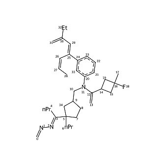 C=N/N=C(\CCC)C1(CCC)CCC(CN(C(=C)C2CC(C)(F)C2)c2cccc(C(/C=C\C)=C/C(=C)CC)c2)C1